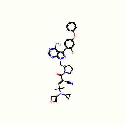 CC(C)(C=C(C#N)C(=O)N1CCC[C@@H]1Cn1nc(-c2ccc(Oc3ccccc3)cc2F)c2c(N)ncnc21)N(C1=COC1)C1CC1